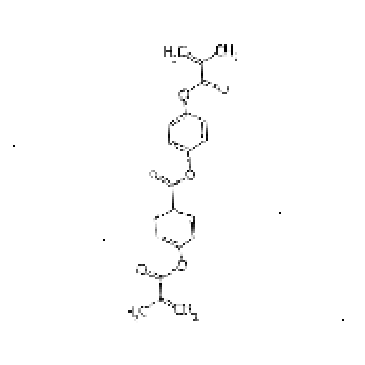 C=C(C)C(=O)OC1=CCC(C(=O)Oc2ccc(OC(=O)C(=C)C)cc2)C=C1